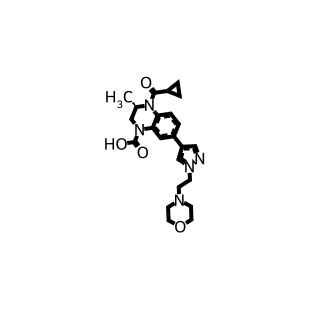 C[C@H]1CN(C(=O)O)c2cc(-c3cnn(CCN4CCOCC4)c3)ccc2N1C(=O)C1CC1